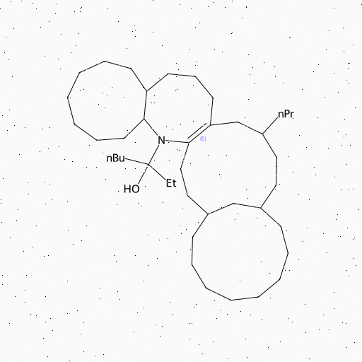 CCCCC(O)(CC)N1/C2=C(\CCCC3CCCCCCCC31)CC(CCC)CCC1CCCCCCCCC(CC2)C1